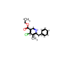 CCOC(=O)c1cnc(Cc2ccccc2)c(C)c1Cl